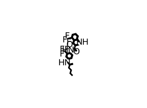 C=C(CCCC)Nc1ccc(NC(=O)c2c[nH]c3cccc(C(F)(F)F)c3c2=O)c(C(F)(F)F)c1